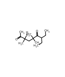 CCC(CC)C(=O)C(C)(C)CC(C)(C)C(C)=O